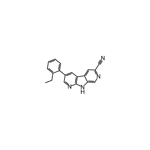 CCc1ccccc1-c1cnc2[nH]c3cnc(C#N)cc3c2c1